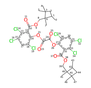 CC1CC(C)(C)C1(C)COC(=O)c1c(Cl)c(Cl)cc(Cl)c1OC(=O)C(=O)Oc1c(Cl)cc(Cl)c(Cl)c1C(=O)OCC1(C)C(C)CC1(C)C